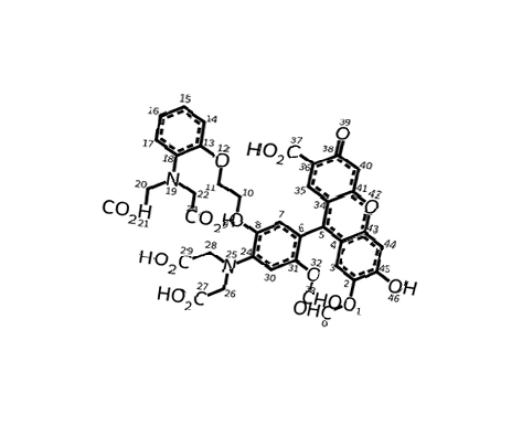 O=COc1cc2c(-c3cc(OCCOc4ccccc4N(CC(=O)O)CC(=O)O)c(N(CC(=O)O)CC(=O)O)cc3OC=O)c3cc(C(=O)O)c(=O)cc-3oc2cc1O